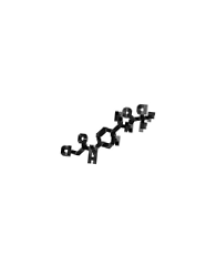 O=C(CCl)Nc1ccc(-c2noc(C(F)(F)Cl)n2)nc1